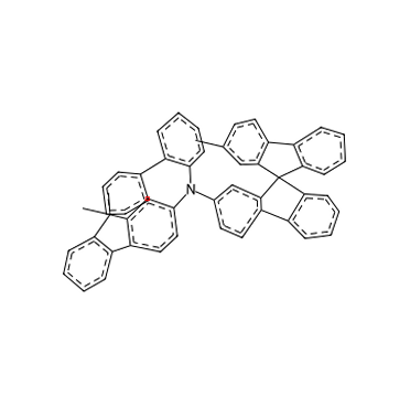 Cc1ccc2c(c1)C1(c3ccccc3-2)c2ccccc2-c2ccc(N(c3ccc4c(c3)C(C)(C)c3ccccc3-4)c3ccccc3-c3ccccc3)cc21